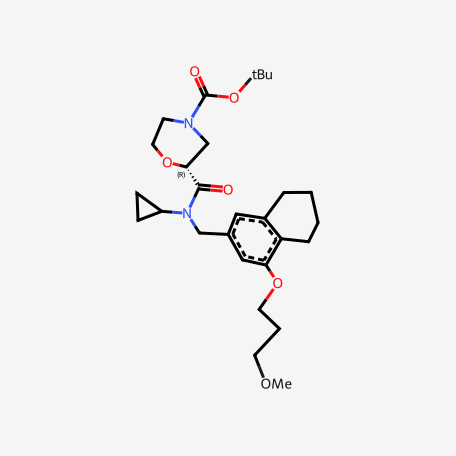 COCCCOc1cc(CN(C(=O)[C@H]2CN(C(=O)OC(C)(C)C)CCO2)C2CC2)cc2c1CCCC2